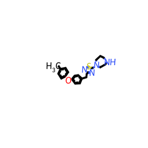 Cc1ccc(Oc2ccc(Cc3nsc(N4CCCNCC4)n3)cc2)cc1